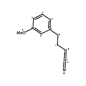 COc1cccc(CCN=[N+]=[N-])c1